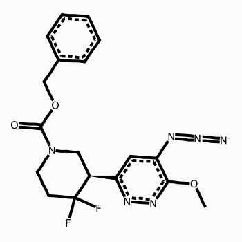 COc1nnc([C@@H]2CN(C(=O)OCc3ccccc3)CCC2(F)F)cc1N=[N+]=[N-]